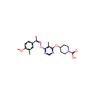 COc1ccc(/C(C)=N\Oc2ncnc(OC3CCN(C(=O)O)CC3)c2C)cc1C